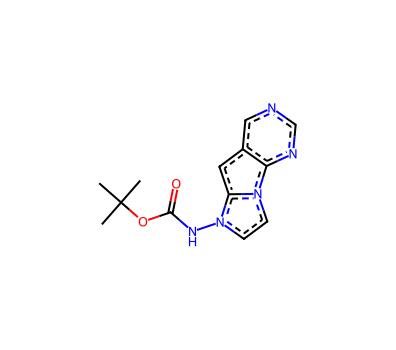 CC(C)(C)OC(=O)Nn1ccn2c3ncncc3cc12